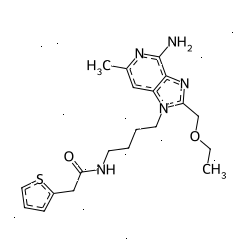 CCOCc1nc2c(N)nc(C)cc2n1CCCCNC(=O)Cc1cccs1